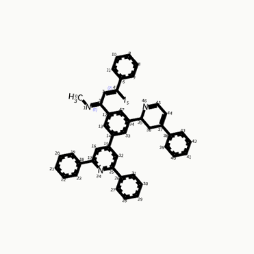 C/N=C(\C=C(/I)c1ccccc1)c1cc(-c2cc(-c3ccccc3)nc(-c3ccccc3)c2)cc(C2CC(c3ccccc3)=CC=N2)c1